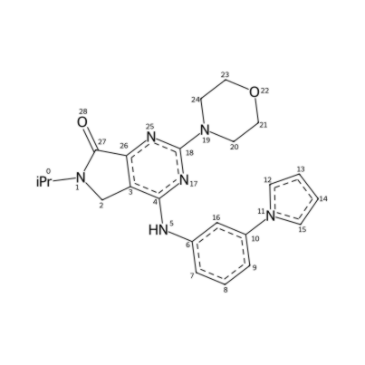 CC(C)N1Cc2c(Nc3cccc(-n4cccc4)c3)nc(N3CCOCC3)nc2C1=O